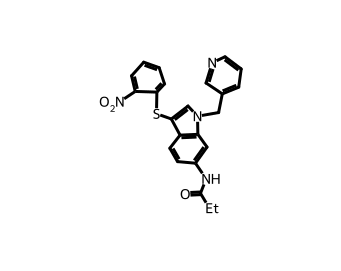 CCC(=O)Nc1ccc2c(Sc3ccccc3[N+](=O)[O-])cn(Cc3cccnc3)c2c1